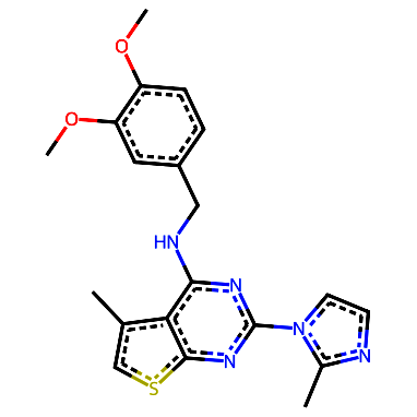 COc1ccc(CNc2nc(-n3ccnc3C)nc3scc(C)c23)cc1OC